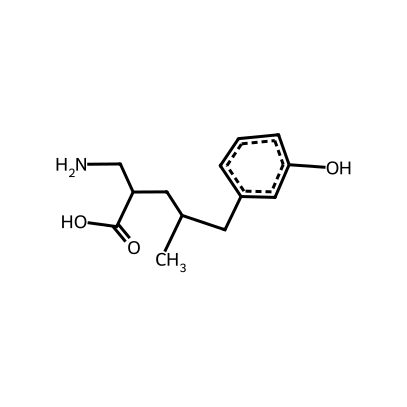 CC(Cc1cccc(O)c1)CC(CN)C(=O)O